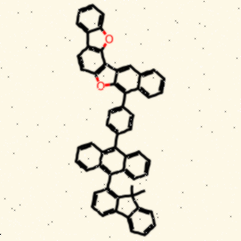 CC1(C)c2ccccc2-c2cccc(-c3c4ccccc4c(-c4ccc(-c5c6ccccc6cc6c5oc5ccc7c8ccccc8oc7c56)cc4)c4ccccc34)c21